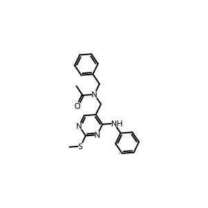 CSc1ncc(CN(Cc2ccccc2)C(C)=O)c(Nc2c[c]ccc2)n1